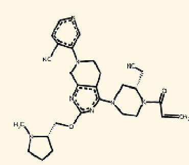 C=CC(=O)N1CCN(c2nc(OC[C@@H]3CCCN3C)nc3c2CCN(c2cnccc2C#N)C3)C[C@@H]1CC#N